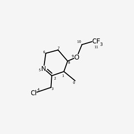 CC1C(CCl)=NCCC1OCC(F)(F)F